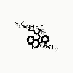 CCNCCCC(CC1c2ccccc2N=CC1(C)c1cc(F)ccc1OC)C(F)(F)F